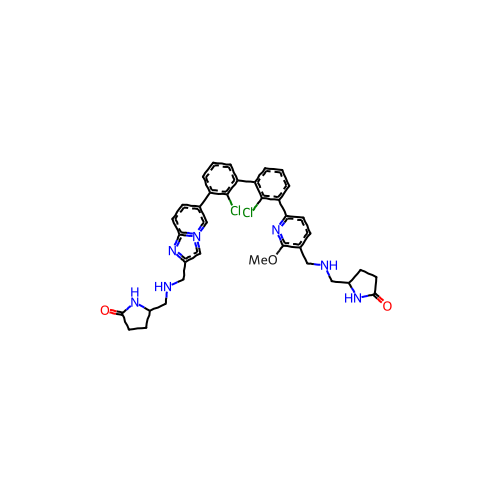 COc1nc(-c2cccc(-c3cccc(-c4ccc5nc(CNCC6CCC(=O)N6)cn5c4)c3Cl)c2Cl)ccc1CNCC1CCC(=O)N1